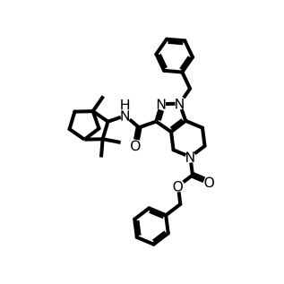 CC12CCC(C1)C(C)(C)C2NC(=O)c1nn(Cc2ccccc2)c2c1CN(C(=O)OCc1ccccc1)CC2